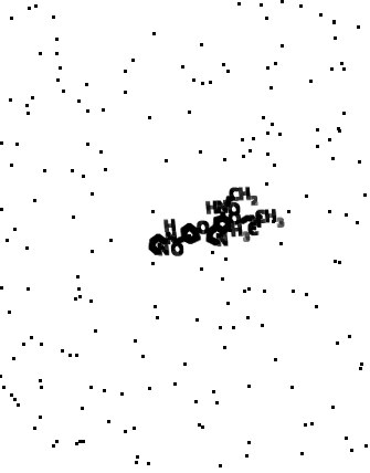 C=CC(=O)Nc1cc2c(Oc3ccc(C(=O)Nc4ccccn4)cc3)ccnc2cc1OCCN(C)C